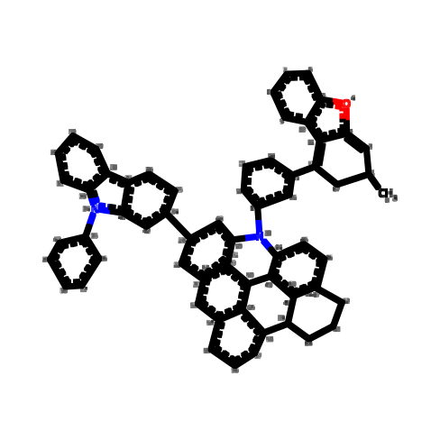 CC1C=c2oc3ccccc3c2=C(c2cccc(N(c3cccc(-c4ccc5c6ccccc6n(-c6ccccc6)c5c4)c3)c3ccccc3-c3cccc4cccc(C5CCCCC5)c34)c2)C1